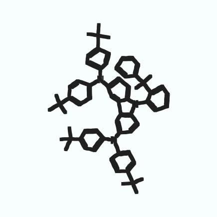 CC(C)(C)c1ccc(N(c2ccc(C(C)(C)C)cc2)c2ccc3c(c2)c2cc(N(c4ccc(C(C)(C)C)cc4)c4ccc(C(C)(C)C)cc4)ccc2n3-c2ccccc2C(C)(C)c2ccccc2)cc1